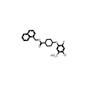 O=C(O)c1cc(OC2CCC(C(=O)OCc3cccc4ccccc34)CC2)c(F)cc1Cl